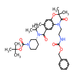 Cc1cc2c(cc1C(=O)N(C(C)C)[C@@H]1CCCN(C(=O)OC(C)(C)C)C1)N(CCNC(=O)OCc1ccccc1)C(=O)C(C)(C)O2